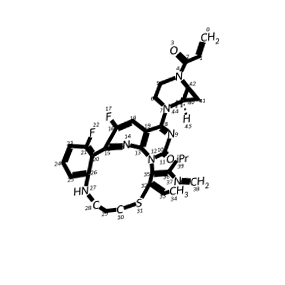 C=CC(=O)N1CCN(c2nc(=O)n3c4nc(c(F)cc24)-c2c(F)cccc2NCCCSC(=C/C)/C3=C(\N=C)C(C)C)[C@@H]2C[C@@H]21